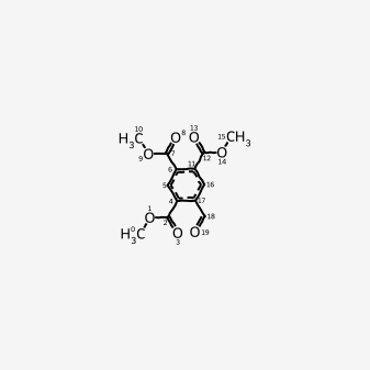 COC(=O)c1cc(C(=O)OC)c(C(=O)OC)cc1C=O